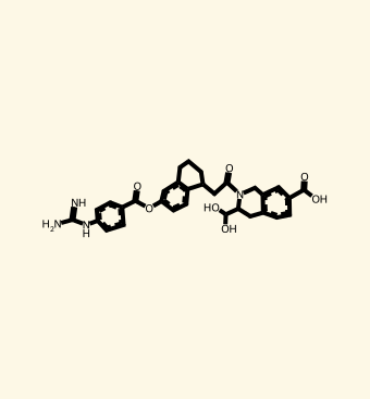 N=C(N)Nc1ccc(C(=O)Oc2ccc3c(c2)CCCC3CC(=O)N2Cc3cc(C(=O)O)ccc3CC2C(O)O)cc1